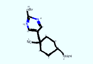 CCCCCCC1CCC(C#N)(c2cnc(CCCC)nc2)CC1